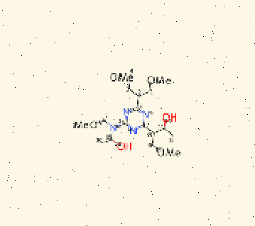 COCC(COC)c1nc(C(COC)C(C)O)nc(N(COC)C(C)O)n1